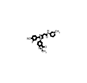 CN1CCC[C@@H](NC(=O)Cc2cn(-c3ccc4nn(C)c(Cl)c4c3)c(-c3ccc(C#N)c(F)c3)n2)C1